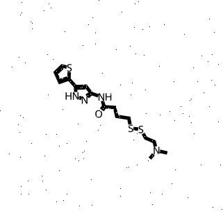 CN(C)CCSSCCCC(=O)Nc1cc(-c2cccs2)[nH]n1